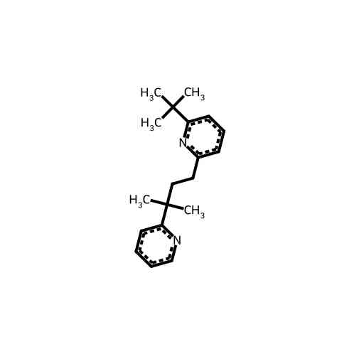 CC(C)(C)c1cccc(CCC(C)(C)c2ccccn2)n1